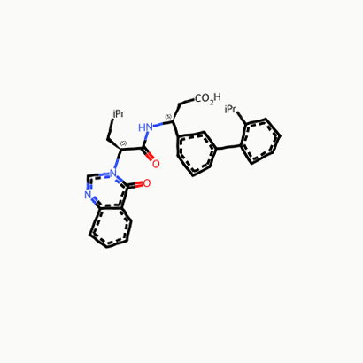 CC(C)C[C@@H](C(=O)N[C@@H](CC(=O)O)c1cccc(-c2ccccc2C(C)C)c1)n1cnc2ccccc2c1=O